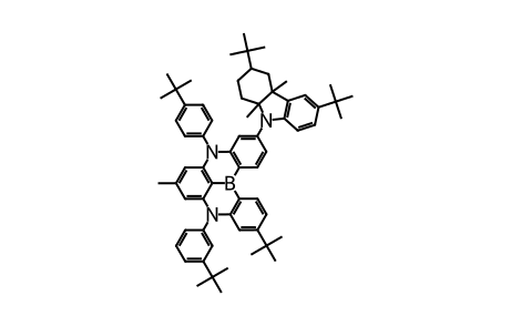 Cc1cc2c3c(c1)N(c1cccc(C(C)(C)C)c1)c1cc(C(C)(C)C)ccc1B3c1ccc(N3c4ccc(C(C)(C)C)cc4C4(C)CC(C(C)(C)C)CCC34C)cc1N2c1ccc(C(C)(C)C)cc1